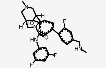 CNCc1ccc(-c2ccc([C@@]3(O)[C@@H]4CN(C)C[C@H]3CN(C(=O)Nc3cc(F)cc(F)c3)C4)nc2)c(F)c1